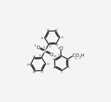 O=C(O)c1ccccc1Cl.O=S(=O)(c1ccccc1)c1ccccc1